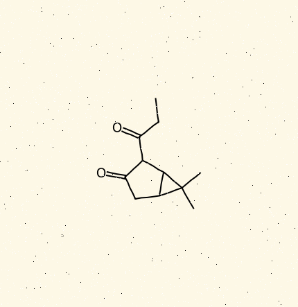 CCC(=O)C1C(=O)CC2C1C2(C)C